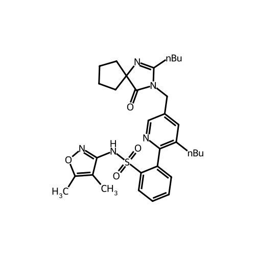 CCCCC1=NC2(CCCC2)C(=O)N1Cc1cnc(-c2ccccc2S(=O)(=O)Nc2noc(C)c2C)c(CCCC)c1